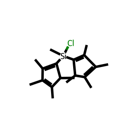 CC1=C(C)C(C)C([Si](C)(Cl)C2=C(C)C(C)=C(C)C2C)=C1C